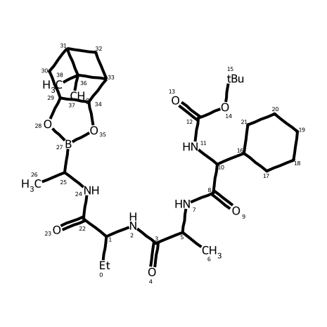 CCC(NC(=O)C(C)NC(=O)C(NC(=O)OC(C)(C)C)C1CCCCC1)C(=O)NC(C)B1OC2CC3CC(C2O1)C3(C)C